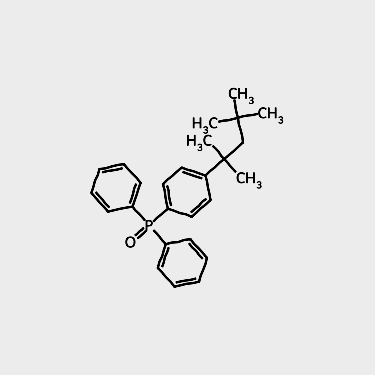 CC(C)(C)CC(C)(C)c1ccc(P(=O)(c2ccccc2)c2ccccc2)cc1